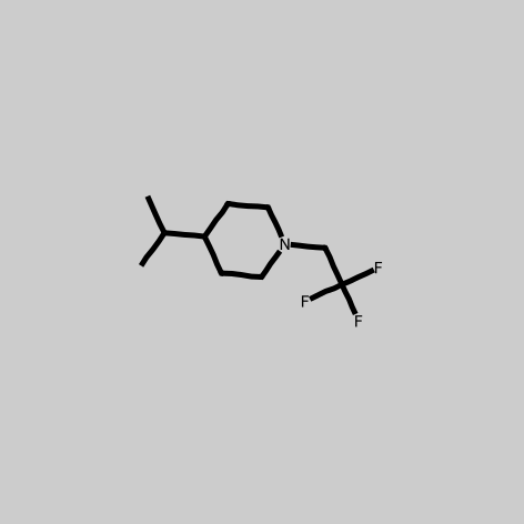 CC(C)C1CCN(CC(F)(F)F)CC1